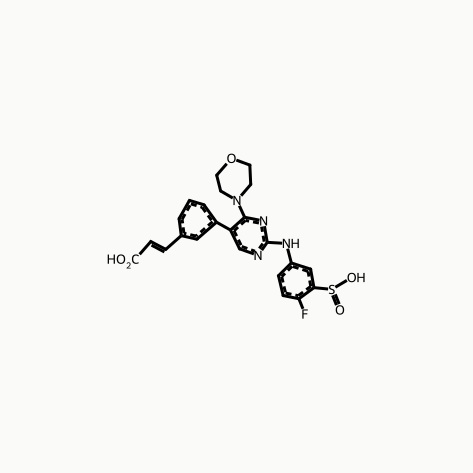 O=C(O)/C=C/c1cccc(-c2cnc(Nc3ccc(F)c(S(=O)O)c3)nc2N2CCOCC2)c1